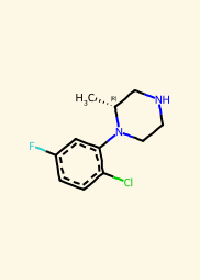 C[C@@H]1CNCCN1c1cc(F)ccc1Cl